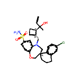 C=CC(C)(O)[C@@H]1CC[C@H]1CN1C[C@@]2(CCCc3cc(Cl)ccc32)COc2ccc(S(N)(=O)=O)cc21